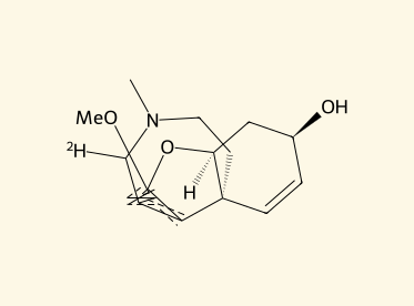 [2H]C1c2ccc(OC)c3c2[C@@]2(C=C[C@H](O)C[C@@H]2O3)CCN1C